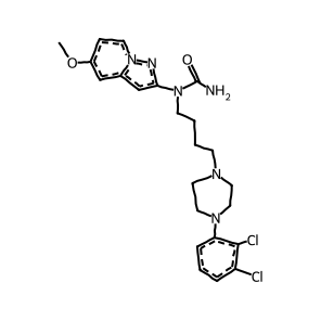 COc1ccn2nc(N(CCCCN3CCN(c4cccc(Cl)c4Cl)CC3)C(N)=O)cc2c1